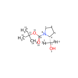 [2H]C([2H])(O)[C@H]1CCCN1C(=O)OC(C)(C)C